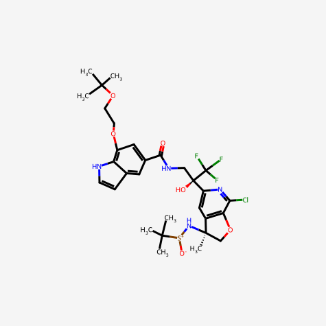 CC(C)(C)OCCOc1cc(C(=O)NC[C@@](O)(c2cc3c(c(Cl)n2)OC[C@@]3(C)N[S+]([O-])C(C)(C)C)C(F)(F)F)cc2cc[nH]c12